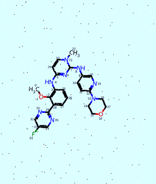 COc1c(NC2=NC(Nc3ccc(N4CCOCC4)nc3)N(C)C=C2)cccc1-c1ncc(F)cn1